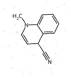 [CH2]N1C=CC(C#N)c2ccccc21